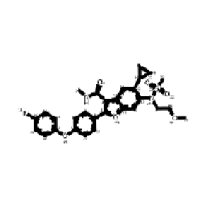 CNC(=O)c1c(-c2ccc(Oc3ccc(F)cc3)cc2)oc2cc(N(CCOC)S(C)(=O)=O)c(C3CC3)cc12